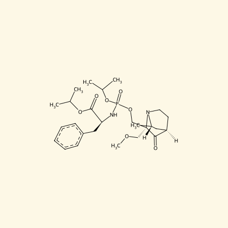 COC[C@@]1(COP(=O)(N[C@@H](Cc2ccccc2)C(=O)OC(C)C)OC(C)C)C(=O)[C@@H]2CCN1[C@@H](C)C2